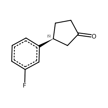 O=C1CC[C@H](c2cccc(F)c2)C1